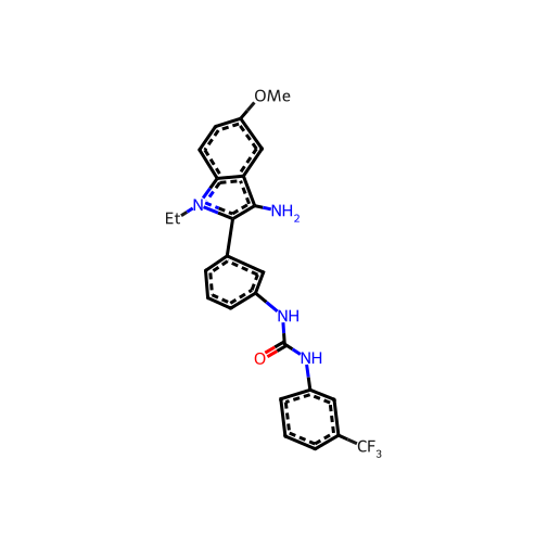 CCn1c(-c2cccc(NC(=O)Nc3cccc(C(F)(F)F)c3)c2)c(N)c2cc(OC)ccc21